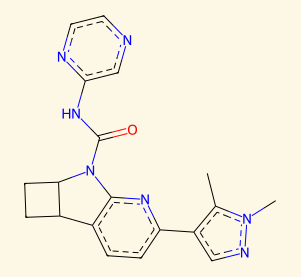 Cc1c(-c2ccc3c(n2)N(C(=O)Nc2cnccn2)C2CCC32)cnn1C